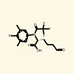 Cc1cc(N(C(=O)C(F)(F)F)[C@H](CCCC=O)C(=O)O)cc(C)c1F